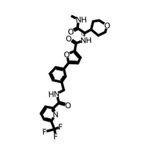 CNC(=O)[C@@H](NC(=O)c1ccc(-c2cccc(CNC(=O)c3cccc(C(F)(F)F)n3)c2)o1)C1CCOCC1